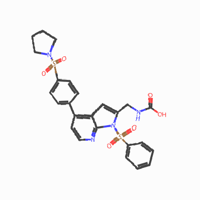 O=C(O)NCc1cc2c(-c3ccc(S(=O)(=O)N4CCCC4)cc3)ccnc2n1S(=O)(=O)c1ccccc1